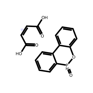 O=C(O)/C=C\C(=O)O.O=[PH]1Oc2ccccc2-c2ccccc21